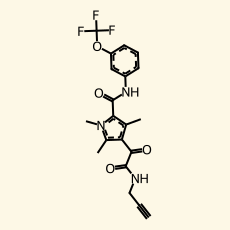 C#CCNC(=O)C(=O)c1c(C)c(C(=O)Nc2cccc(OC(F)(F)F)c2)n(C)c1C